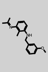 COc1cccc(CNc2cccc(N=C(C)C)c2C)c1